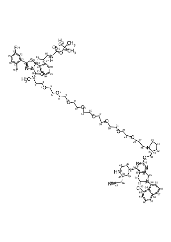 CN(CCOCCOCCOCCOCCOCCOCCOCCOCCCN1CCC[C@H]1COc1nc2c(c(N3CCN[C@@H](CC#N)C3)n1)CCN(c1cccc3cccc(Cl)c13)C2)C(=O)N1N=C(c2cc(F)ccc2F)S[C@@]1(CCCNC(=O)OC(C)(C)C)c1ccccc1